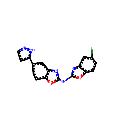 Fc1ccc2oc(Nc3nc4cc(-c5ccn[nH]5)ccc4o3)nc2c1